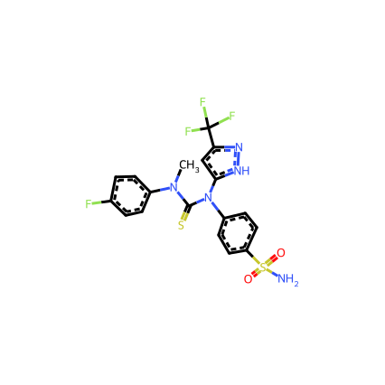 CN(C(=S)N(c1ccc(S(N)(=O)=O)cc1)c1cc(C(F)(F)F)n[nH]1)c1ccc(F)cc1